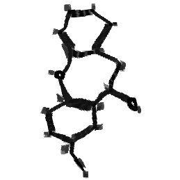 O=C1Cc2ccccc2Oc2ccc(F)cc21